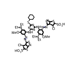 CCN(CC)c1cc(Nc2nc(Nc3cc(N(CC)CC)c(OC)cc3/N=N/c3snc4sc(S(=O)(=O)O)c(Cl)c34)nc(SC3CCCCC3)n2)c(/N=N/c2snc3sc(S(=O)(=O)O)c(Cl)c23)cc1OC